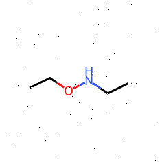 [CH2]CNOCC